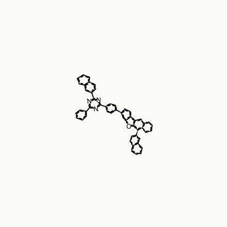 c1ccc(-c2nc(-c3ccc(-c4ccc5c(c4)oc4c(-c6ccc7ccccc7c6)c6ccccc6cc45)cc3)nc(-c3ccc4ccccc4c3)n2)cc1